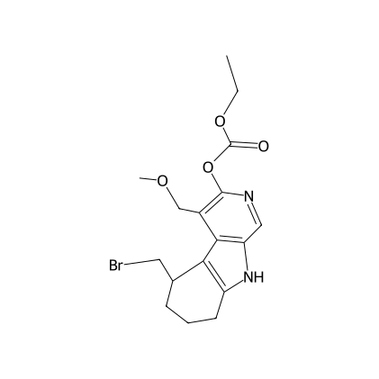 CCOC(=O)Oc1ncc2[nH]c3c(c2c1COC)C(CBr)CCC3